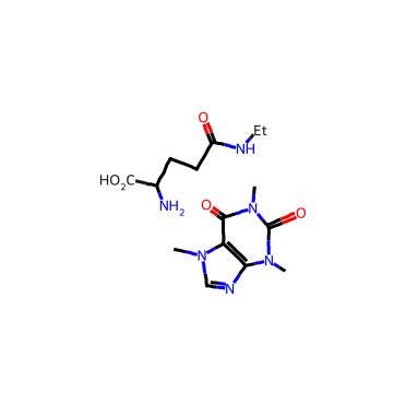 CCNC(=O)CCC(N)C(=O)O.Cn1c(=O)c2c(ncn2C)n(C)c1=O